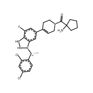 C[C@H](c1ccc(Cl)cc1Cl)N1NNc2c(F)cc(C3=CCN(C(=O)C4(N)CCCC4)CC3)cc21